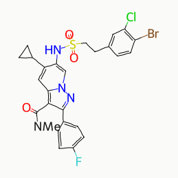 CNC(=O)c1c(-c2ccc(F)cc2)nn2cc(NS(=O)(=O)CCc3ccc(Br)c(Cl)c3)c(C3CC3)cc12